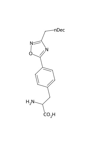 CCCCCCCCCCCc1noc(-c2ccc(CC(N)C(=O)O)cc2)n1